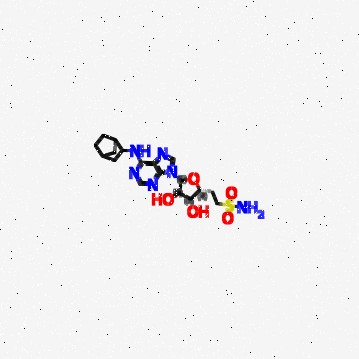 NS(=O)(=O)CC[C@H]1O[C@@H](n2cnc3c(NC4CC5CCC4C5)ncnc32)[C@H](O)[C@H]1O